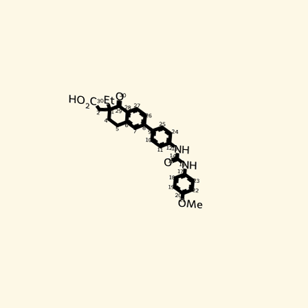 CCC1(CC(=O)O)CCc2cc(-c3ccc(NC(=O)Nc4ccc(OC)cc4)cc3)ccc2C1=O